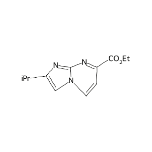 CCOC(=O)c1ccn2cc(C(C)C)nc2n1